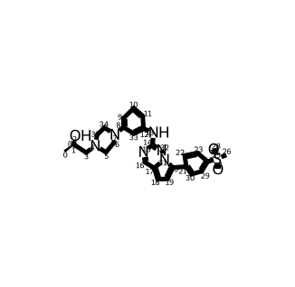 C[C@@H](O)CN1CCN(c2cccc(Nc3ncc4ccc(-c5ccc(S(C)(=O)=O)cc5)n4n3)c2)CC1